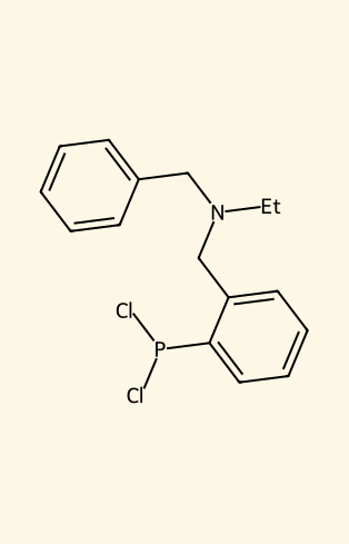 CCN(Cc1ccccc1)Cc1ccccc1P(Cl)Cl